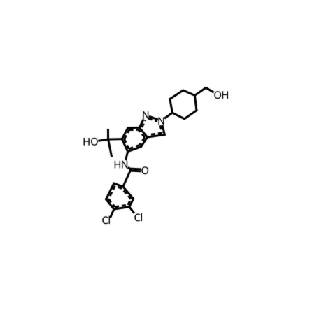 CC(C)(O)c1cc2nn(C3CCC(CO)CC3)cc2cc1NC(=O)c1ccc(Cl)c(Cl)c1